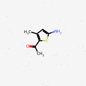 CC(=O)c1sc(N)cc1C